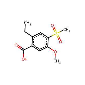 CCc1cc(S(C)(=O)=O)c(OC)cc1C(=O)O